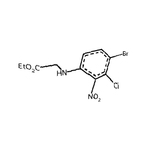 CCOC(=O)CNc1ccc(Br)c(Cl)c1[N+](=O)[O-]